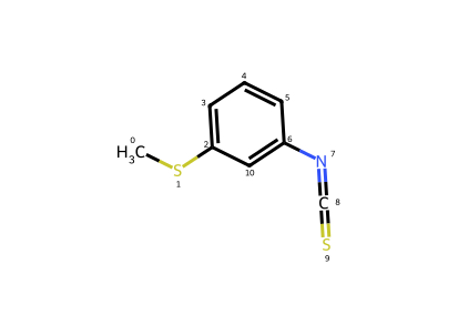 CSc1cccc(N=C=S)c1